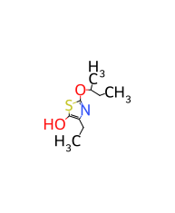 CCc1nc(OC(C)CC)sc1O